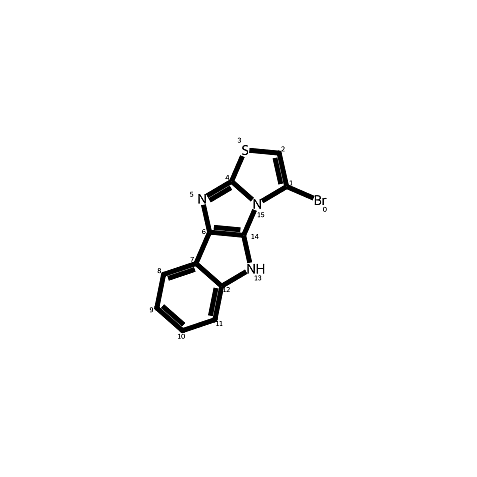 Brc1csc2nc3c4ccccc4[nH]c3n12